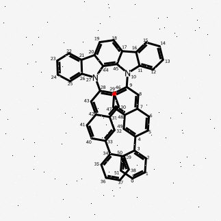 c1ccc(-c2ccc3cc(-n4c5ccccc5c5ccc6c7ccccc7n(-c7ccc8cc(-c9ccccc9)ccc8c7)c6c54)ccc3c2)cc1